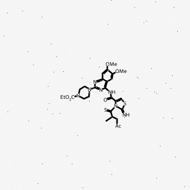 CCOC(=O)N1CCN(c2nc(NC(=O)c3csc(=N)n3C(=S)C(C)CC(C)=O)c3cc(OC)c(OC)cc3n2)CC1